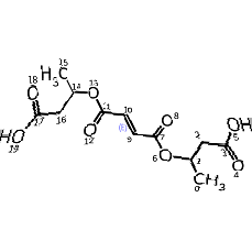 CC(CC(=O)O)OC(=O)/C=C/C(=O)OC(C)CC(=O)O